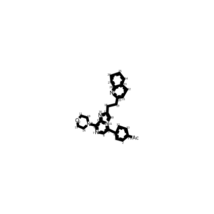 CC(=O)c1ccc(-c2cnc(N3CCOCC3)c3nc(CCc4ccc5ccccc5n4)cn23)cc1